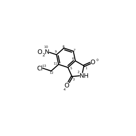 O=C1NC(=O)c2c1ccc([N+](=O)[O-])c2CCl